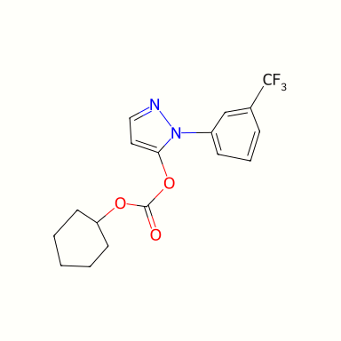 O=C(Oc1ccnn1-c1cccc(C(F)(F)F)c1)OC1CCCCC1